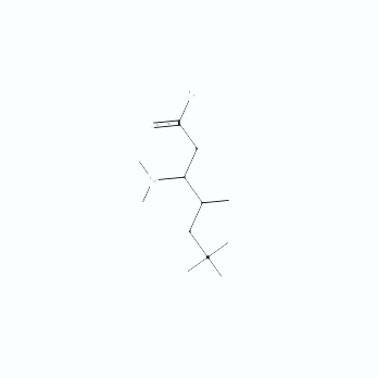 CN(C)C(CC(N)=O)C(CC(F)(C(F)(F)F)C(F)(F)F)S(=O)(=O)O